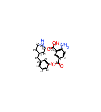 Nc1ccc(C(=O)O)cc1C(=O)O.c1ccc(CC2CCNCC2)cc1